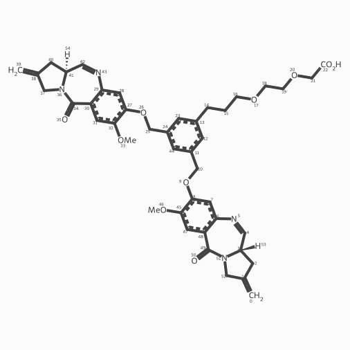 C=C1C[C@H]2C=Nc3cc(OCc4cc(CCCOCCOCC(=O)O)cc(COc5cc6c(cc5OC)C(=O)N5CC(=C)C[C@H]5C=N6)c4)c(OC)cc3C(=O)N2C1